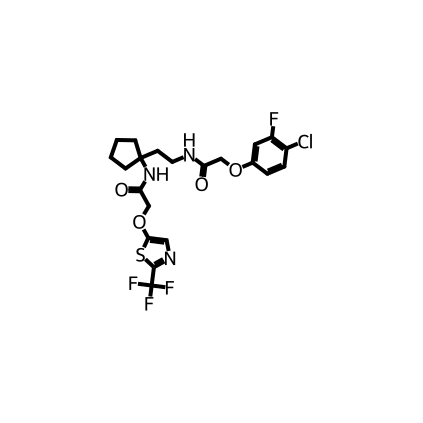 O=C(COc1ccc(Cl)c(F)c1)NCCC1(NC(=O)COc2cnc(C(F)(F)F)s2)CCCC1